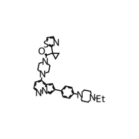 CCN1CCN(c2ccc(-c3cc4c(N5CCN(C(=O)C6(c7nccs7)CC6)CC5)ccnn4c3)cc2)CC1